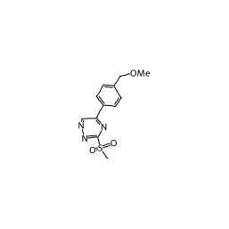 COCc1ccc(-c2cnnc(S(C)(=O)=O)n2)cc1